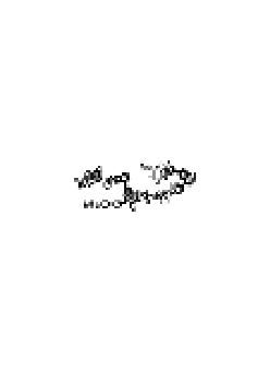 COCCOCCNC(=O)C(CSSCCOC(=O)OCc1ccc(-c2ccnc3ccc(-c4cnc(OC)c(N)c4)cc23)cn1)NC(=O)CCc1cccc2c1CN(C(=O)C[C@@H]1C[C@@H](CN3CC(C)(F)C[C@H]3C#N)NC1=O)C2